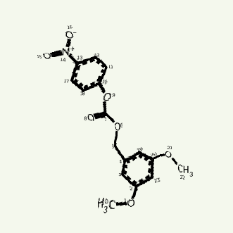 COc1cc(COC(=O)Oc2ccc([N+](=O)[O-])cc2)cc(OC)c1